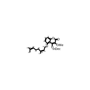 CCCCCCCCCCOc1c(OC)c(=O)oc2cccc(OCC=C(C)CCC=C(C)C)c12